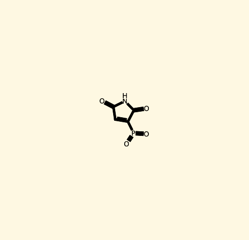 O=C1C=C(P(=O)=O)C(=O)N1